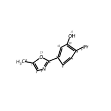 Cc1cnc(-c2ccc(C(C)C)c(O)c2)o1